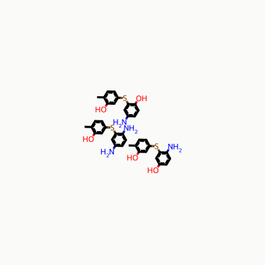 Cc1ccc(Sc2cc(N)ccc2N)cc1O.Cc1ccc(Sc2cc(N)ccc2O)cc1O.Cc1ccc(Sc2cc(O)ccc2N)cc1O